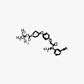 CC(C)(C)OC(=O)N1CCC(Oc2ccc(OCC(=O)N(N)c3cccc(C#N)c3)cc2)CC1